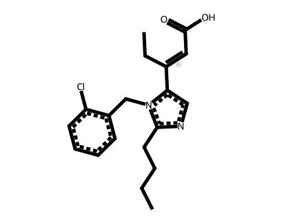 CCCCc1ncc(/C(=C/C(=O)O)CC)n1Cc1ccccc1Cl